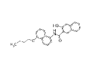 CCCCOc1cccc2c(NC(=O)c3cc4ccccc4cc3O)cccc12